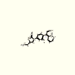 N=C/C(=C1/C=CC=NN1)c1ccc(N2CC(CN)OC2=O)cc1F